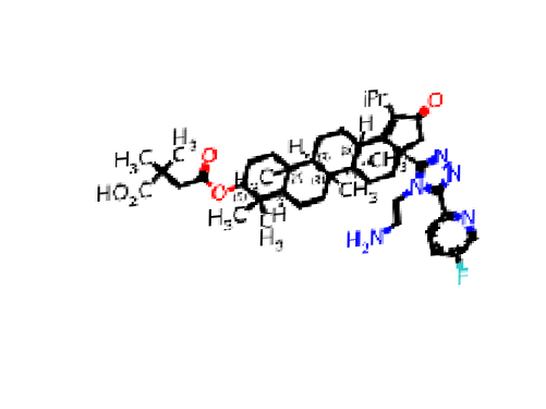 CC(C)C1=C2[C@H]3CC[C@@H]4[C@@]5(C)CC[C@H](OC(=O)CC(C)(C)C(=O)O)C(C)(C)[C@@H]5CC[C@@]4(C)[C@]3(C)CC[C@@]2(c2nnc(-c3ccc(F)cn3)n2CCN)CC1=O